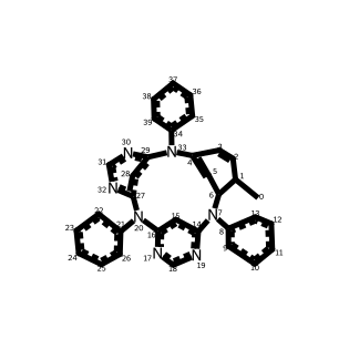 CC1C=CC2=CC1N(c1ccccc1)c1cc(ncn1)N(c1ccccc1)c1cc(ncn1)N2c1ccccc1